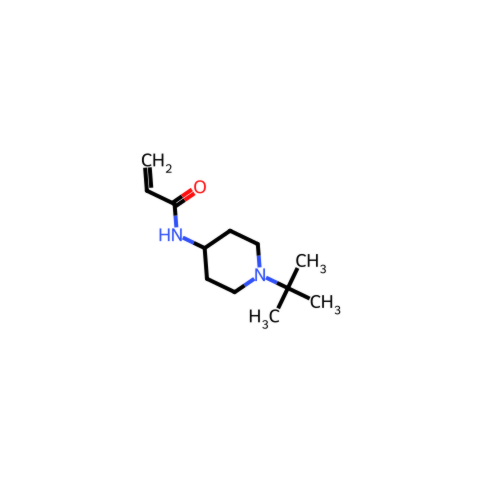 C=CC(=O)NC1CCN(C(C)(C)C)CC1